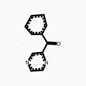 O=C(c1ccccc1)c1cnccn1